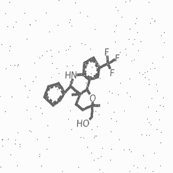 CC1(CO)CCC2(C)C(c3ccccc3)Nc3ccc(C(F)(F)F)cc3C2O1